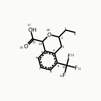 CCC1Cc2c(cccc2C(F)(F)F)C(C(=O)O)O1